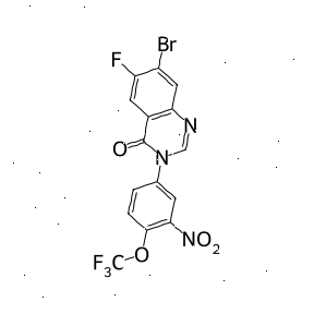 O=c1c2cc(F)c(Br)cc2ncn1-c1ccc(OC(F)(F)F)c([N+](=O)[O-])c1